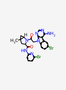 CC12CC(C(=O)Nc3cccc(Br)n3)N(C(=O)Cn3c4ccc(Br)cc4c4c(N)ncnc43)[C@@H]1C2